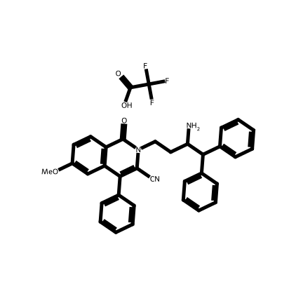 COc1ccc2c(=O)n(CCC(N)C(c3ccccc3)c3ccccc3)c(C#N)c(-c3ccccc3)c2c1.O=C(O)C(F)(F)F